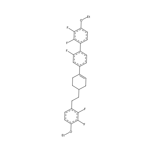 CCOc1ccc(CCC2CC=C(c3ccc(-c4ccc(OCC)c(F)c4F)c(F)c3)CC2)c(F)c1F